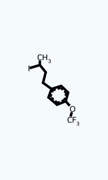 CC(I)CCc1ccc(OC(F)(F)F)cc1